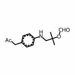 CC(=O)Cc1ccc(NCC(C)(C)OC=O)cc1